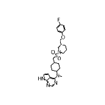 CN(c1ncnc2[nH]ccc12)C1CCC(CS(=O)(=O)N2CCCC(COc3ccc(F)cc3)C2)CC1